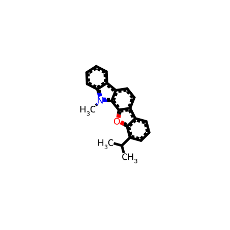 CC(C)c1cccc2c1oc1c2ccc2c3ccccc3n(C)c21